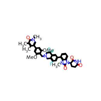 COc1cc(-c2cn(C)c(=O)c(C)c2C)cc(OC)c1CN1Cc2c(F)cc(-c3cccc4c3n(C)c(=O)n4C3CCC(=O)NC3=O)cc2C(F)(F)C1